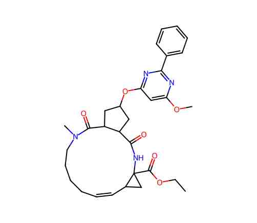 CCOC(=O)C12CC1C=CCCCCN(C)C(=O)C1CC(Oc3cc(OC)nc(-c4ccccc4)n3)CC1C(=O)N2